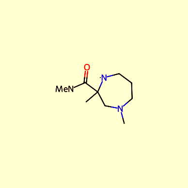 CNC(=O)C1(C)CN(C)CCC[N]1